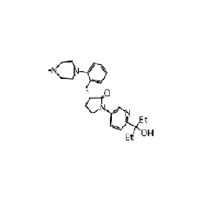 CCC(O)(CC)c1ccc(N2CC[C@H](Cc3ccccc3N3CCN(C)CC3)C2=O)cn1